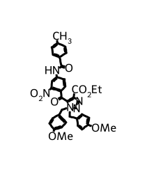 CCOC(=O)C1=C(C(=O)c2ccc(NC(=O)c3ccc(C)cc3)cc2[N+](=O)[O-])[N+](Cc2ccc(OC)cc2)(Cc2ccc(OC)cc2)N=N1